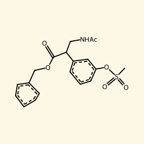 CC(=O)NCC(C(=O)OCc1ccccc1)c1cccc(OS(C)(=O)=O)c1